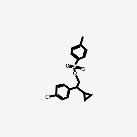 Cc1ccc(S(=O)(=O)OCC(c2ccc(Cl)cc2)C2CC2)cc1